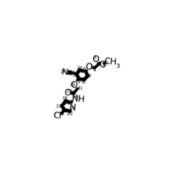 COC(=O)COc1ccc(OCC(=O)Nc2ccc(Cl)cn2)c(C#N)c1